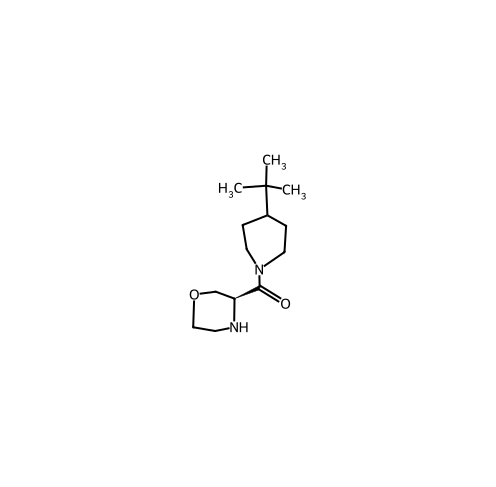 CC(C)(C)C1CCN(C(=O)[C@@H]2COCCN2)CC1